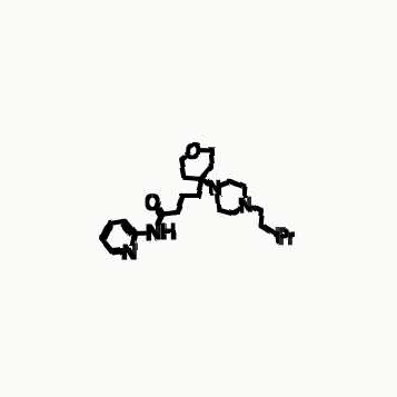 CC(C)CCN1CCN(C2(CCCC(=O)Nc3ccccn3)CCOCC2)CC1